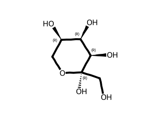 OC[C@@]1(O)OC[C@@H](O)[C@@H](O)[C@H]1O